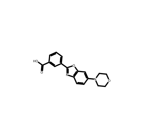 O=C(O)c1cccc(-c2nc3ccc(N4CCOCC4)cc3o2)c1